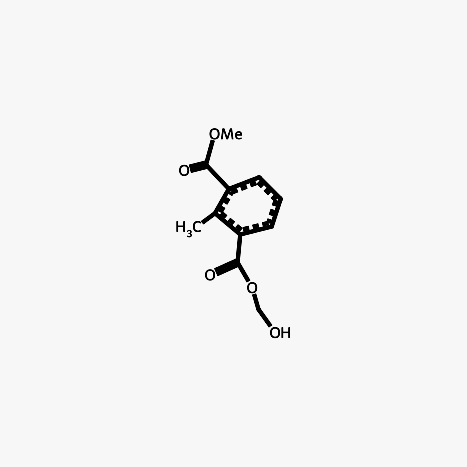 COC(=O)c1cccc(C(=O)OCO)c1C